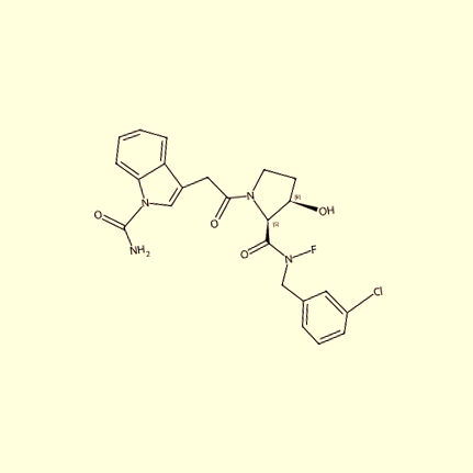 NC(=O)n1cc(CC(=O)N2CC[C@@H](O)[C@H]2C(=O)N(F)Cc2cccc(Cl)c2)c2ccccc21